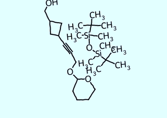 CC(C)(C)[Si](C)(C)O[Si](C)(C)C(C)(C)C.OCC1CC(C#CCOC2CCCCO2)C1